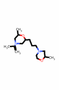 C=C(C)N1CC(C)OC(CCCN2CCOC(C)C2)C1